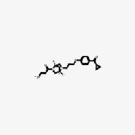 NCCC(=O)N1C[C@@H]2C[C@H]1CN2CCCOc1ccc(C(=O)C2CC2)cc1